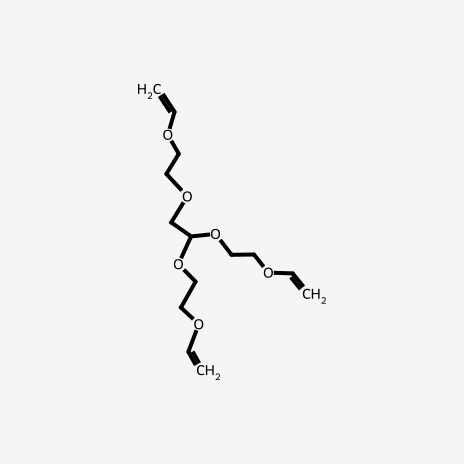 C=COCCOCC(OCCOC=C)OCCOC=C